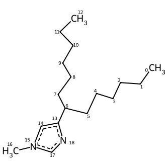 CCCCCCC(CCCCCC)c1cn(C)cn1